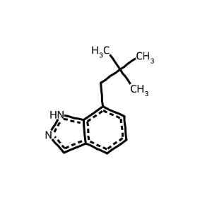 CC(C)(C)Cc1cccc2cn[nH]c12